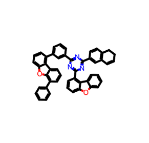 C1=Cc2cc(-c3nc(-c4cccc(-c5cccc6oc7c(-c8ccccc8)cccc7c56)c4)nc(-c4cccc5oc6ccccc6c45)n3)ccc2CC1